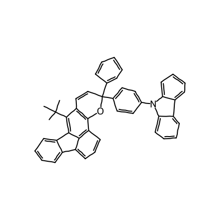 CC(C)(C)c1c2c(c3cccc4c3c1-c1ccccc1-4)OC(c1ccccc1)(c1ccc(-n3c4ccccc4c4ccccc43)cc1)C=C2